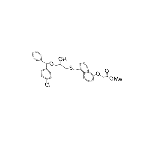 COC(=O)COc1cccc2c(CSCC(O)COC(c3ccccc3)c3ccc(Cl)cc3)cccc12